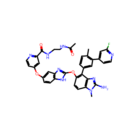 CC(=O)NCCNC(=O)c1cc(Oc2ccc3[nH]c(Oc4ccc5c(nc(N)n5C)c4-c4ccc(C)c(-c5ccnc(F)c5)c4)nc3c2)ccn1